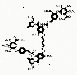 C=C1C[C@@H](CO)N(C(=O)c2cc(OC)c(OCCCCCOc3cc(NC(=O)OCc4ccc(O[C@@H]5O[C@H](C(=O)OC)[C@@H](OC(C)=O)[C@H](OC(C)=O)[C@H]5OC(C)=O)c(N=[N+]=[N-])c4)c(C(=O)N4CC(=C)C[C@H]4CO)cc3OC)cc2NC(=O)OCc2ccc(O[C@@H]3O[C@H](C(=O)OC)[C@@H](OC(C)=O)[C@H](OC(C)=O)[C@H]3OC(C)=O)cc2)C1